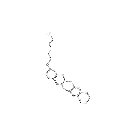 CCCCCCOc1ccc2cc3cc4cc5ccccc5cc4cc3cc2c1